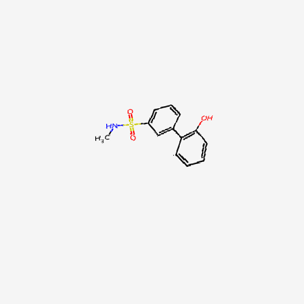 CNS(=O)(=O)c1cccc(-c2[c]cccc2O)c1